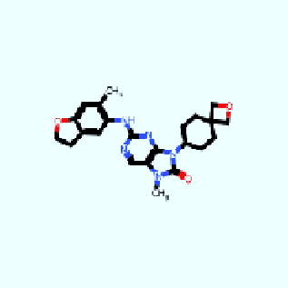 Cc1cc2c(cc1Nc1ncc3c(n1)n(C1CCC4(CC1)COC4)c(=O)n3C)CCO2